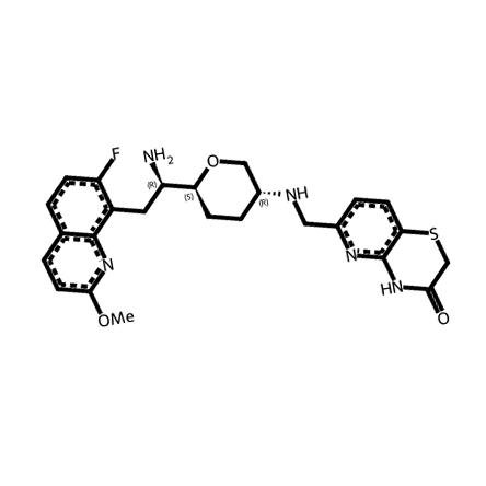 COc1ccc2ccc(F)c(C[C@@H](N)[C@@H]3CC[C@@H](NCc4ccc5c(n4)NC(=O)CS5)CO3)c2n1